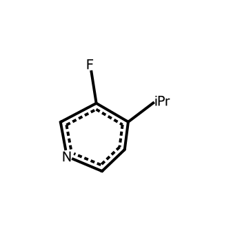 CC(C)c1ccncc1F